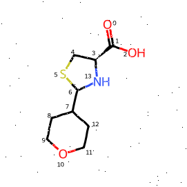 O=C(O)[C@@H]1CSC(C2CCOCC2)N1